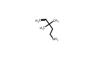 C=CC(C)(C)CCN